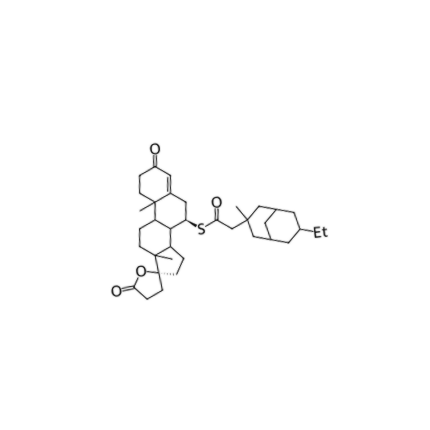 CCC1CC2CC(C1)CC(C)(CC(=O)S[C@@H]1CC3=CC(=O)CCC3(C)C3CCC4(C)C(CC[C@@]45CCC(=O)O5)C31)C2